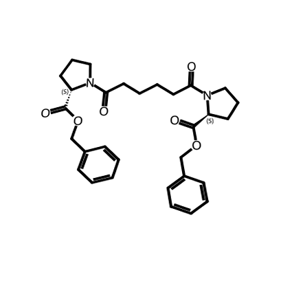 O=C(OCc1ccccc1)[C@@H]1CCCN1C(=O)CCCCC(=O)N1CCC[C@H]1C(=O)OCc1ccccc1